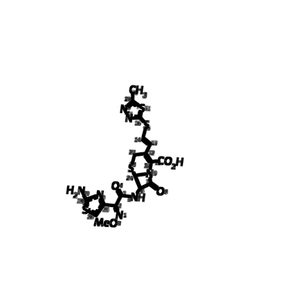 CON=C(C(=O)NC1C(=O)N2C(C(=O)O)=C(C=CSc3nnc(C)s3)CSC12)c1csc(N)n1